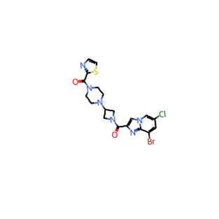 O=C(c1cn2cc(Cl)cc(Br)c2n1)N1CC(N2CCN(C(=O)c3nccs3)CC2)C1